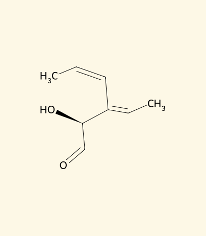 C/C=C\C(=C/C)[C@H](O)C=O